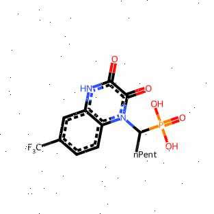 CCCCCC(n1c(=O)c(=O)[nH]c2cc(C(F)(F)F)ccc21)P(=O)(O)O